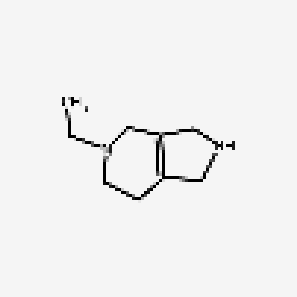 CCN1CCC2=C(CNC2)C1